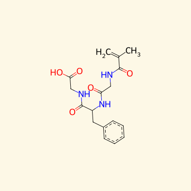 C=C(C)C(=O)NCC(=O)NC(Cc1ccccc1)C(=O)NCC(=O)O